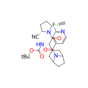 C#C[C@H]1CC[C@@H](C#N)N1C(=O)[C@@H](NC(=O)OC(C)(C)C)C1CC2CCC(C1)N2C(=O)c1ccnc(F)c1